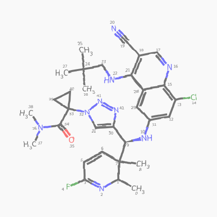 CC1N=C(F)C=CC1(C)[C@H](Nc1cc(Cl)c2ncc(C#N)c(NCC(C)(C)C)c2c1)c1cn(C2(C(=O)N(C)C)CC2)nn1